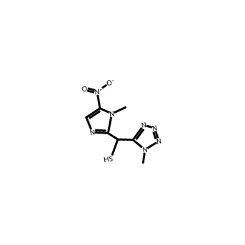 Cn1nnnc1C(S)c1ncc([N+](=O)[O-])n1C